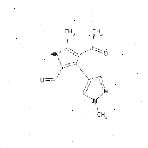 CC(=O)c1c(C)[nH]c(C=O)c1-c1cnn(C)c1